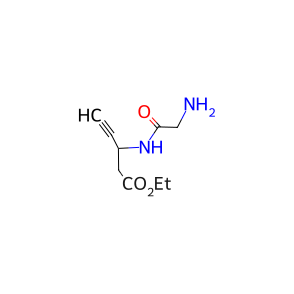 C#CC(CC(=O)OCC)NC(=O)CN